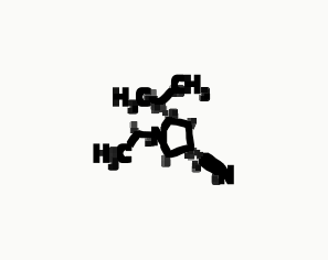 CCN1C[C@@H](C#N)C[C@H]1C(C)C